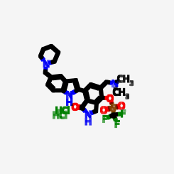 CN(C)Cc1cc(-c2cc3cc(CN4CCCCC4)ccc3[nH]2)c2c(c1OS(=O)(=O)C(F)(F)F)CNC2=O.Cl.Cl